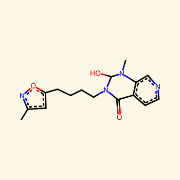 Cc1cc(CCCCN2C(=O)c3ccncc3N(C)C2O)on1